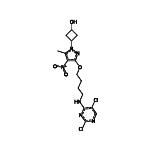 Cc1c([N+](=O)[O-])c(OCCCCNc2nc(Cl)ncc2Cl)nn1C1CC(O)C1